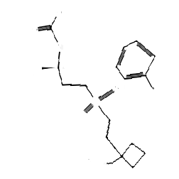 CC(=O)OC1(CCS(=N)(=O)CC[C@H](NC(=O)OCC(C)C)C(=O)O)CCC1.Ic1ccccc1